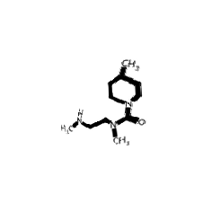 CNCCN(C)C(=O)N1CCC(C)CC1